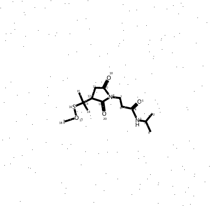 CC(C)NC(=O)CCN1C(=O)CC(C(C)(C)SOI)C1=O